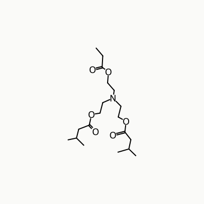 CCC(=O)OCCN(CCOC(=O)CC(C)C)CCOC(=O)CC(C)C